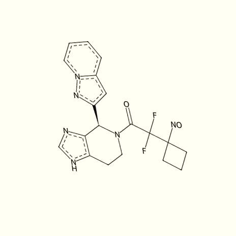 O=NC1(C(F)(F)C(=O)N2CCc3[nH]cnc3[C@H]2c2cc3ccccn3n2)CCC1